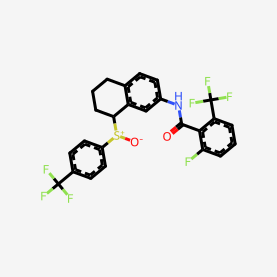 O=C(Nc1ccc2c(c1)C([S+]([O-])c1ccc(C(F)(F)F)cc1)CCC2)c1c(F)cccc1C(F)(F)F